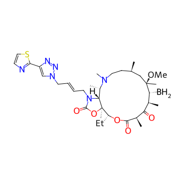 B[C@@H]1[C@@H](C)C(=O)[C@@H](C)C(=O)O[C@H](CC)[C@@]2(C)OC(=O)N(C/C=C/Cn3cc(-c4nccs4)nn3)[C@@H]2[C@H](C)N(C)CC[C@@H](C)C[C@@]1(C)OC